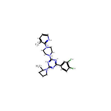 CC1CCCN1c1nc(-c2ccc(F)c(F)c2)nc(N2CCN(c3ncccc3C(F)(F)F)CC2)n1